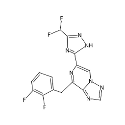 Fc1cccc(Cc2nc(-c3nc(C(F)F)n[nH]3)cn3ncnc23)c1F